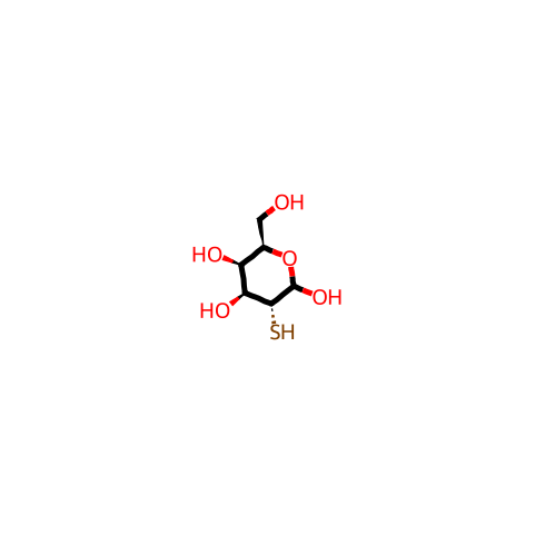 OC[C@H]1OC(O)[C@H](S)[C@@H](O)[C@H]1O